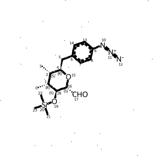 C[C@@H]1[C@H](C)[C@@H](Cc2ccc(N=[N+]=[N-])cc2)O[C@H](C=O)[C@H]1O[Si](C)(C)C